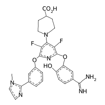 Cn1ccnc1-c1cccc(Oc2nc(Oc3cc(C(=N)N)ccc3O)c(F)c(N3CCC(C(=O)O)CC3)c2F)c1